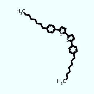 CCCCCCCCc1ccc(-c2ccc(-c3ccc(-c4ccc(CCCCCCCC)cc4)s3)s2)cc1